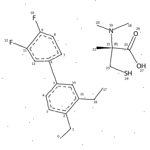 CCc1ccc(-c2ccc(F)c(F)c2)cc1CC.CN(C)[C@@](C)(CS)C(=O)O